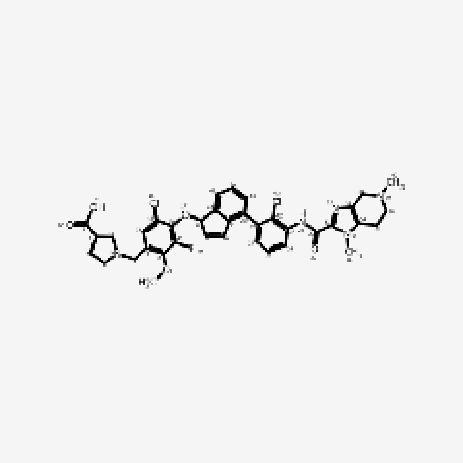 COc1c(CN2CCC(C(=O)O)C2)cc(Cl)c(OC2C=Cc3c(-c4cccc(NC(=O)c5nc6c(n5C)CCN(C)C6)c4Cl)cccc32)c1F